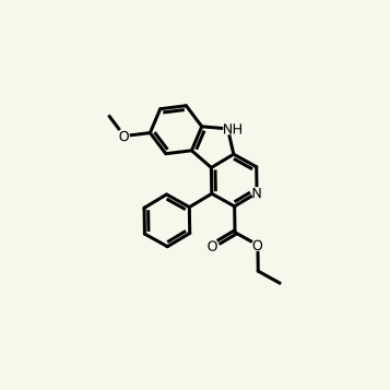 CCOC(=O)c1ncc2[nH]c3ccc(OC)cc3c2c1-c1ccccc1